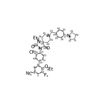 CCOc1c(F)cc(C#N)cc1-c1ccc(N2C(=O)N(CC)C3(CCN(Cc4ccc(N5CCCC5)cc4)CC3)C2=O)c(Cl)c1